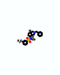 CC(C)N([C@H]1CC[C@@H]2CN(Cc3ccccc3)C[C@@H]21)S(=O)(=O)c1cccc(C(F)(F)F)c1